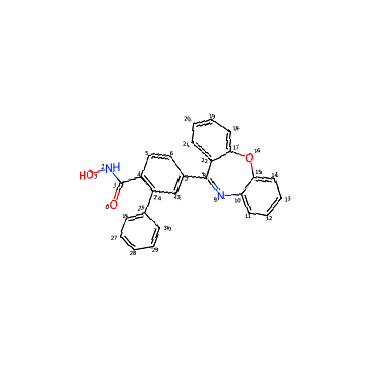 O=C(NO)c1ccc(C2=Nc3ccccc3Oc3ccccc32)cc1-c1ccccc1